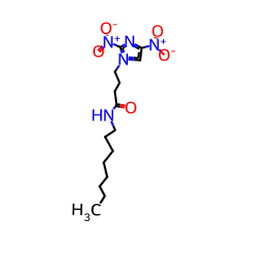 CCCCCCCCNC(=O)CCCn1cc([N+](=O)[O-])nc1[N+](=O)[O-]